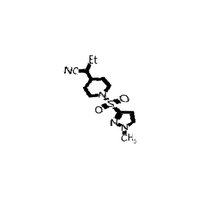 CCC(C#N)C1CCN(S(=O)(=O)c2ccn(C)n2)CC1